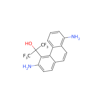 Nc1ccc2ccc3c(N)cccc3c2c1C(O)(C(F)(F)F)C(F)(F)F